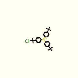 CC(C)(C)c1ccc([S+](c2ccc(C(C)(C)C)cc2)c2ccc(C(C)(C)C)cc2)cc1.[Cl-]